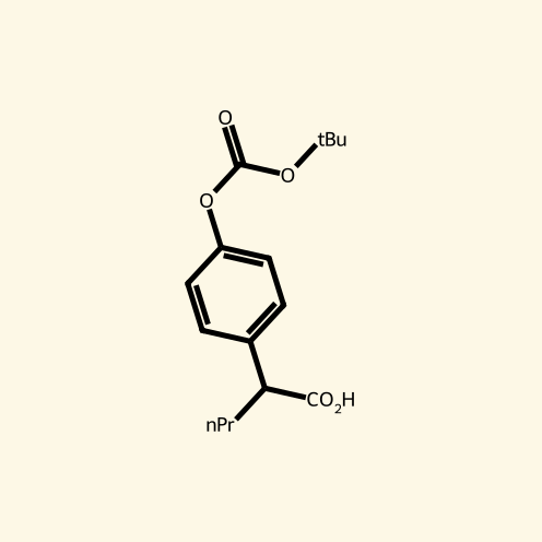 CCCC(C(=O)O)c1ccc(OC(=O)OC(C)(C)C)cc1